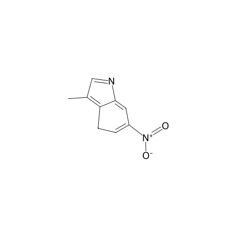 CC1=C2CC=C([N+](=O)[O-])C=C2N=C1